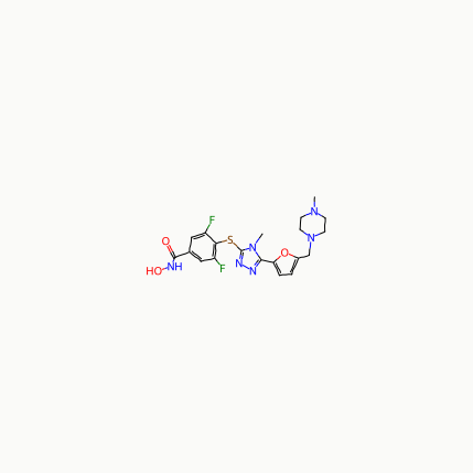 CN1CCN(Cc2ccc(-c3nnc(Sc4c(F)cc(C(=O)NO)cc4F)n3C)o2)CC1